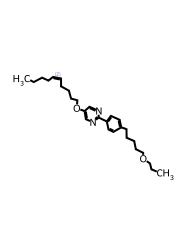 CCCC/C=C\CCCCOc1cnc(-c2ccc(CCCCCOCCC)cc2)nc1